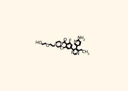 CCc1ncnc(-c2cc(F)c(C(=O)N3CCN(CCOCCO)CC3)c(Cl)c2)c1-c1ccc(N)nc1